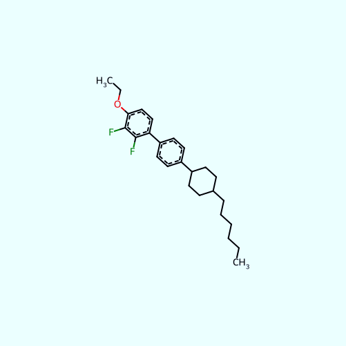 CCCCCCC1CCC(c2ccc(-c3ccc(OCC)c(F)c3F)cc2)CC1